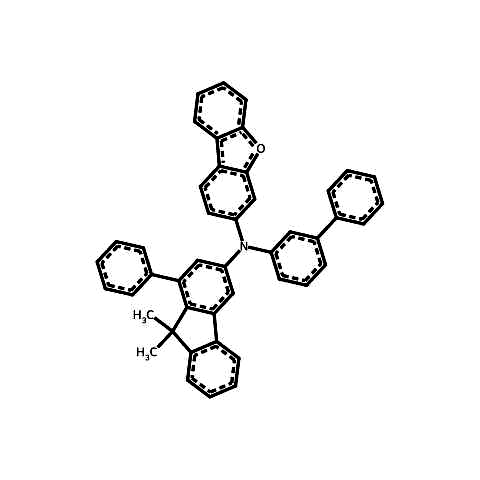 CC1(C)c2ccccc2-c2cc(N(c3cccc(-c4ccccc4)c3)c3ccc4c(c3)oc3ccccc34)cc(-c3ccccc3)c21